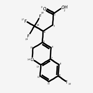 O=C(O)CC(C1=Cc2cc(I)ccc2OC1)C(F)(F)F